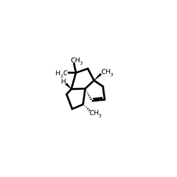 C[C@@H]1CC[C@@H]2C(C)(C)C[C@]3(C)CC=C[C@]123